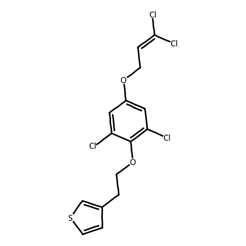 ClC(Cl)=CCOc1cc(Cl)c(OCCc2ccsc2)c(Cl)c1